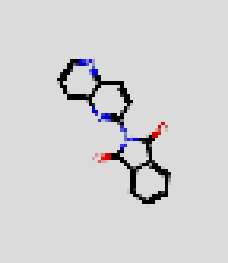 O=C1c2ccccc2C(=O)N1c1ccc2ncccc2n1